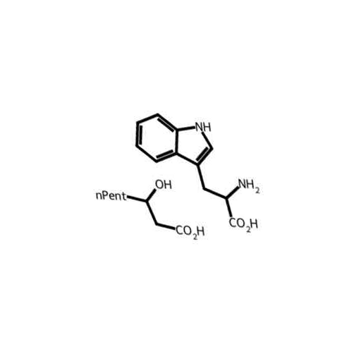 CCCCCC(O)CC(=O)O.NC(Cc1c[nH]c2ccccc12)C(=O)O